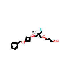 CC(CF)(COCCCO)COC1CC(OCc2ccccc2)C1